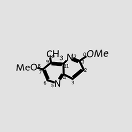 COc1ccc2ncc(OC)c(C)c2n1